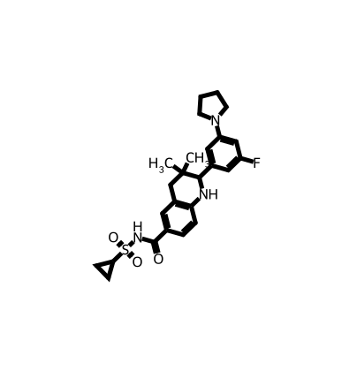 CC1(C)Cc2cc(C(=O)NS(=O)(=O)C3CC3)ccc2NC1c1cc(F)cc(N2CCCC2)c1